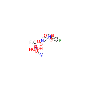 CN(C)CCO[PH](O)(O)OC[C@@H](OC(=O)N1CCC2(CC1)CN(S(=O)(=O)c1ccc(F)cc1)CCO2)C(F)(F)F